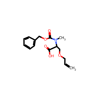 C=CCOCC(C(=O)O)N(C)C(=O)OCc1ccccc1